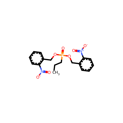 CCCP(=O)(OCc1ccccc1[N+](=O)[O-])OCc1ccccc1[N+](=O)[O-]